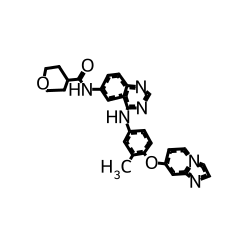 Cc1cc(Nc2ncnc3ccc(NC(=O)C4CCOCC4)cc23)ccc1Oc1ccn2ccnc2c1